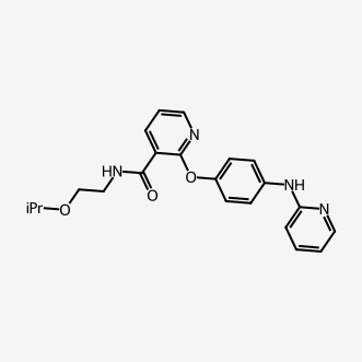 CC(C)OCCNC(=O)c1cccnc1Oc1ccc(Nc2ccccn2)cc1